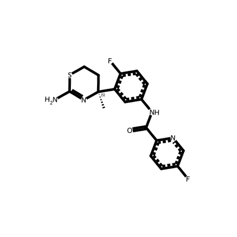 C[C@@]1(c2cc(NC(=O)c3ccc(F)cn3)ccc2F)CCSC(N)=N1